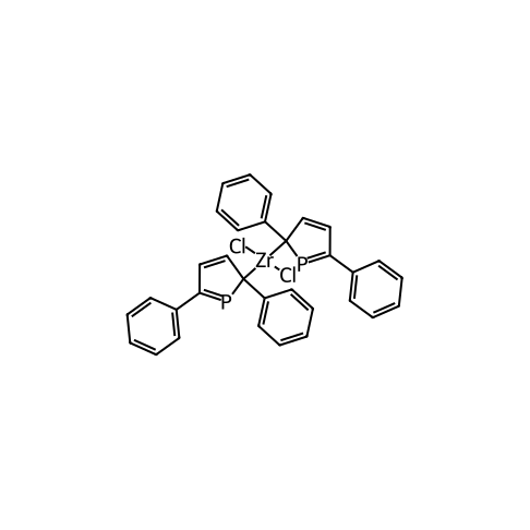 [Cl][Zr]([Cl])([C]1(c2ccccc2)C=CC(c2ccccc2)=P1)[C]1(c2ccccc2)C=CC(c2ccccc2)=P1